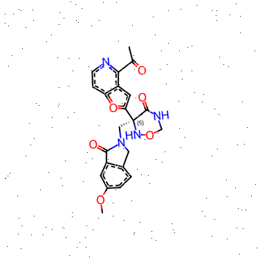 COc1ccc2c(c1)C(=O)N(C[C@@]1(c3cc4c(C(C)=O)nccc4o3)NOCNC1=O)C2